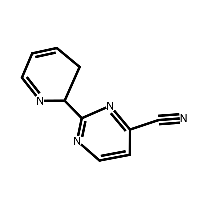 N#Cc1ccnc(C2CC=CC=N2)n1